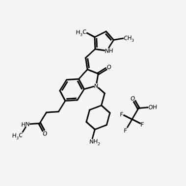 CNC(=O)CCc1ccc2c(c1)N(CC1CCC(N)CC1)C(=O)/C2=C\c1[nH]c(C)cc1C.O=C(O)C(F)(F)F